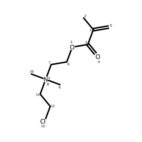 C=C(C)C(=O)OCC[N+](C)(C)CCCl